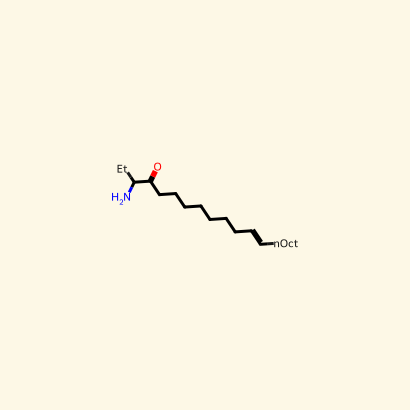 CCCCCCCCC=CCCCCCCCC(=O)C(N)CC